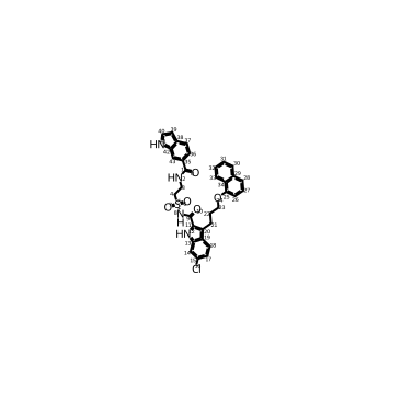 O=C(NCCS(=O)(=O)NC(=O)c1[nH]c2cc(Cl)ccc2c1CCCOc1cccc2ccccc12)c1ccc2cc[nH]c2c1